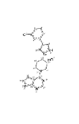 Cl.Clc1cccc(-c2c[nH]c(C3CCN(c4ncnc5[nH]ncc45)CC3)n2)c1